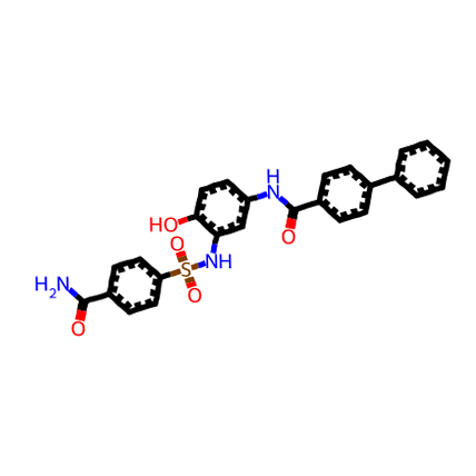 NC(=O)c1ccc(S(=O)(=O)Nc2cc(NC(=O)c3ccc(-c4ccccc4)cc3)ccc2O)cc1